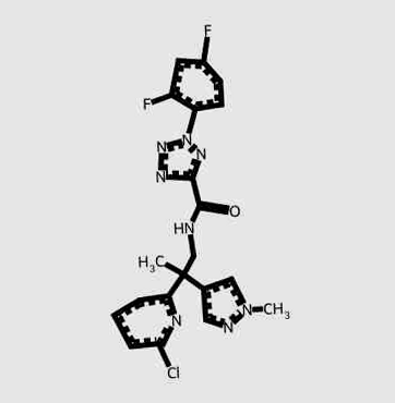 Cn1cc(C(C)(CNC(=O)c2nnn(-c3ccc(F)cc3F)n2)c2cccc(Cl)n2)cn1